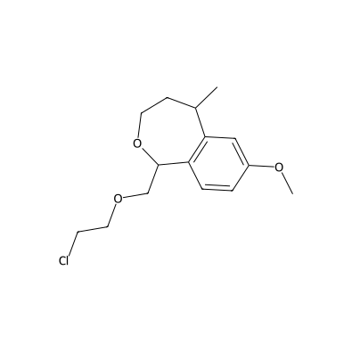 COc1ccc2c(c1)C(C)CCOC2COCCCl